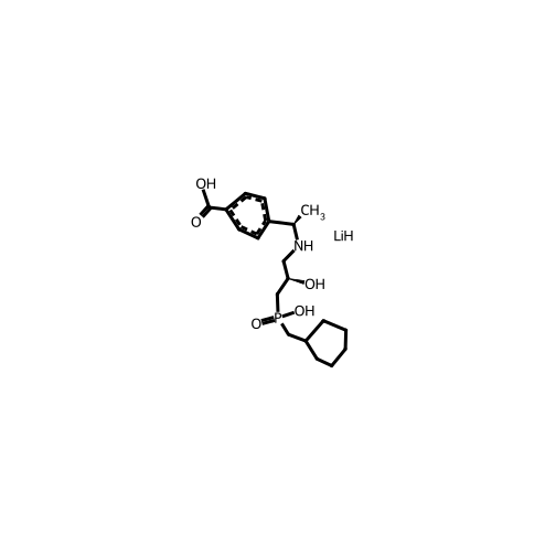 C[C@@H](NC[C@@H](O)CP(=O)(O)CC1CCCCC1)c1ccc(C(=O)O)cc1.[LiH]